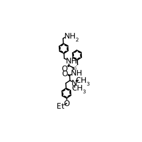 CCOc1ccc(CC(C(=O)N[C@@H](Cc2ccccc2)C(=O)NCc2ccc(CN)cc2)N(C)C)cc1